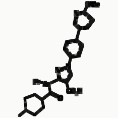 COc1ccc(-c2ccc(-n3cc(C(=O)O)c([As](C(=O)C4CCC(C)CC4)C(C)C)n3)cc2)cn1